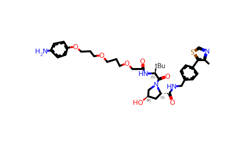 Cc1ncsc1-c1ccc(CNC(=O)[C@@H]2C[C@@H](O)CN2C(=O)[C@@H](NC(=O)COCCCOCCCOc2ccc(N)cc2)C(C)(C)C)cc1